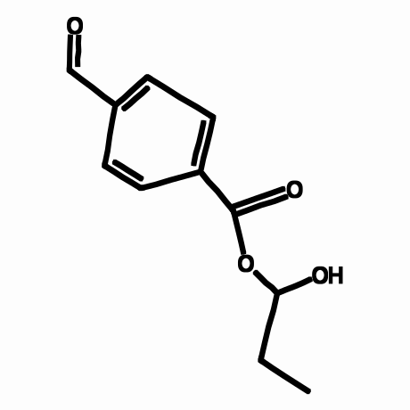 CCC(O)OC(=O)c1ccc(C=O)cc1